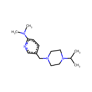 CC(C)N1CCN(Cc2ccc(N(C)C)nc2)CC1